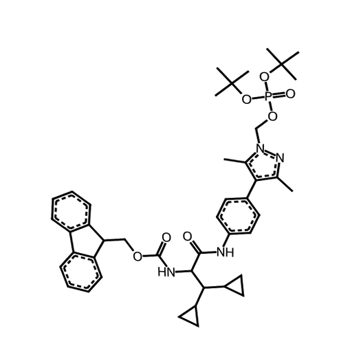 Cc1nn(COP(=O)(OC(C)(C)C)OC(C)(C)C)c(C)c1-c1ccc(NC(=O)C(NC(=O)OCC2c3ccccc3-c3ccccc32)C(C2CC2)C2CC2)cc1